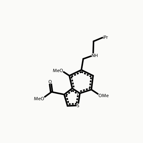 COC(=O)c1csc2c(OC)cc(CNCC(C)C)c(OC)c12